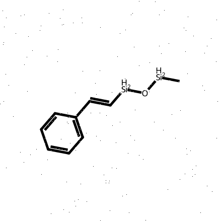 C[SiH2]O[SiH2]C=Cc1ccccc1